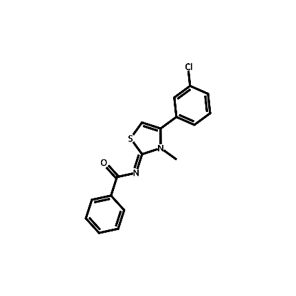 Cn1c(-c2cccc(Cl)c2)csc1=NC(=O)c1ccccc1